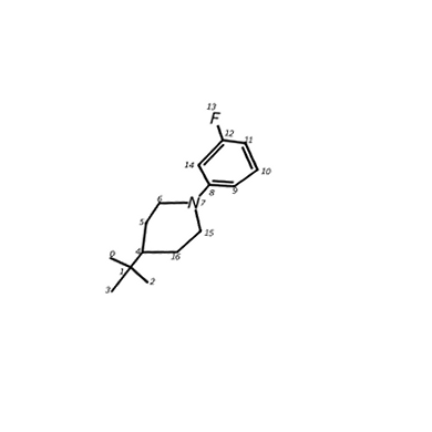 CC(C)(C)C1CCN(c2cccc(F)c2)CC1